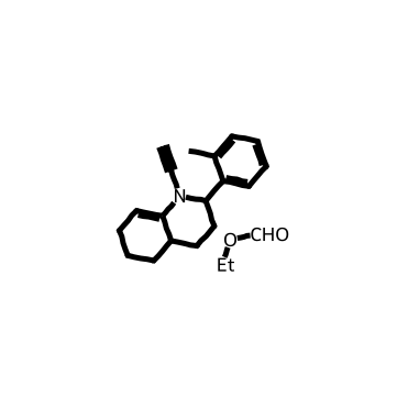 C#CN1C2=CCCCC2CCC1c1ccccc1C.CCOC=O